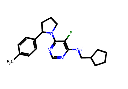 Fc1c(NCC2CCCC2)ncnc1N1CCCC1c1ccc(C(F)(F)F)cc1